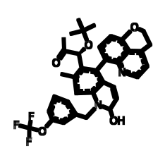 CC(=O)[C@@H](OC(C)(C)C)c1c(C)cc2c(c1-c1ccc3c4c(ccnc14)CCO3)C=CC(O)N2Cc1cccc(OC(F)(F)F)c1